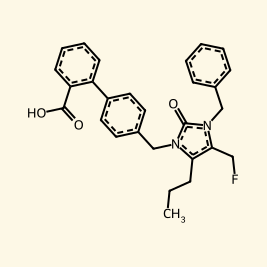 CCCc1c(CF)n(Cc2ccccc2)c(=O)n1Cc1ccc(-c2ccccc2C(=O)O)cc1